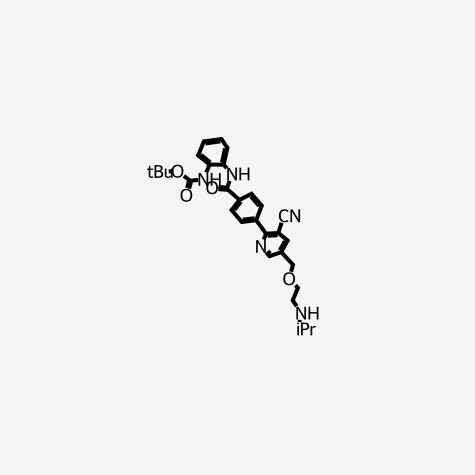 CC(C)NCCOCc1cnc(-c2ccc(C(=O)Nc3ccccc3NC(=O)OC(C)(C)C)cc2)c(C#N)c1